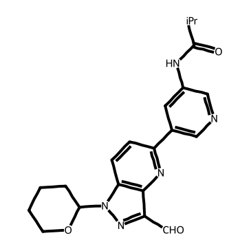 CC(C)C(=O)Nc1cncc(-c2ccc3c(n2)c(C=O)nn3C2CCCCO2)c1